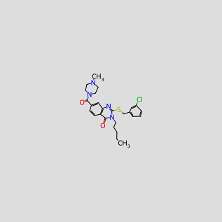 CCCCCn1c(SCc2cccc(Cl)c2)nc2cc(C(=O)N3CCN(C)CC3)ccc2c1=O